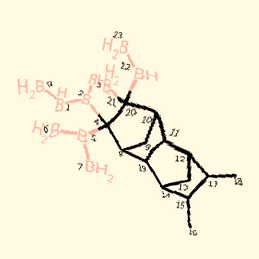 BBB(B)C1(B(B)B)C2CC(C3C4CC(C(C)C4C)C32)C1(B)BB